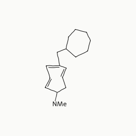 CNC1/C=C/C=C(CC2CCCCCC2)\C=C\C1